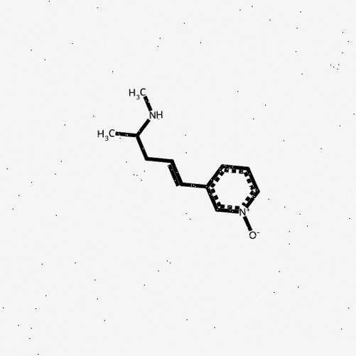 CNC(C)CC=Cc1ccc[n+]([O-])c1